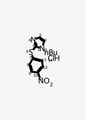 CCCCn1ccnc1Sc1ccc([N+](=O)[O-])cc1.Cl